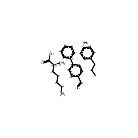 CCCc1ccccc1.N.NCCCC[C@H](N)C(=O)O.O=Cc1ccc(-c2ccccc2)cc1